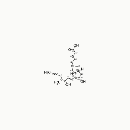 CC#CCC(C)C(O)C=C[C@H]1[C@@H]2CC(CCSCC(=O)O)C[C@H]2C[C@@H]1O